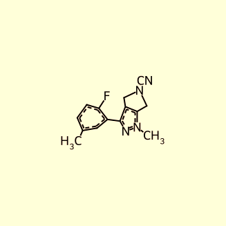 Cc1ccc(F)c(-c2nn(C)c3c2CN(C#N)C3)c1